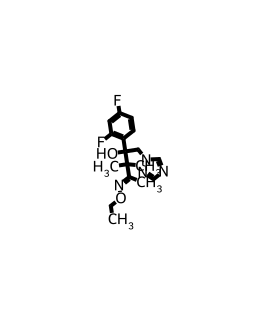 CCON=C(C)C(C)(C)C(O)(Cn1cncn1)c1ccc(F)cc1F